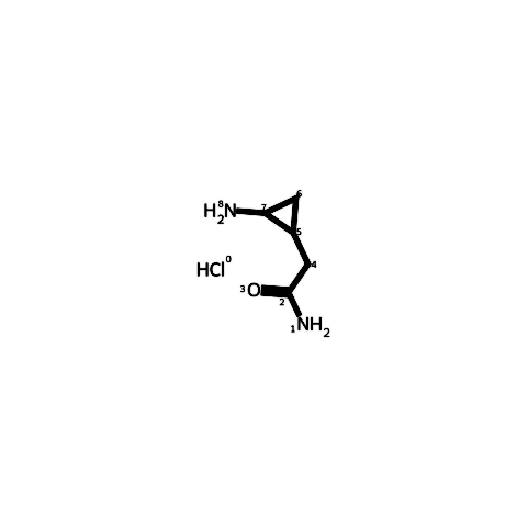 Cl.NC(=O)CC1CC1N